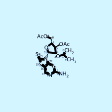 C=C(C)O[C@@H]1[C@H](OC(C)=O)[C@@H](COC(C)=O)O[C@H]1n1c(=S)sc2cnc(N)nc21